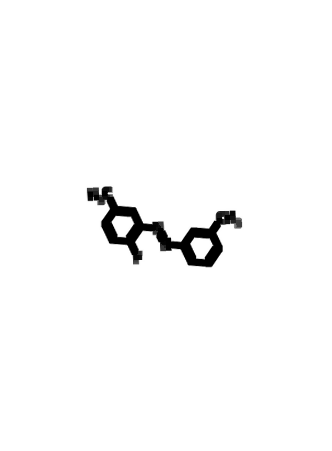 Cc1cccc(N=Nc2cc(C)ccc2F)c1